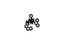 c1ccc(-c2nc(-c3cc4c(ccc5ccc6ccccc6c54)cn3)nc(-c3cc4ccccc4c4ccccc34)n2)cc1